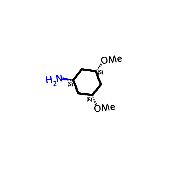 CO[C@@H]1C[C@@H](N)C[C@H](OC)C1